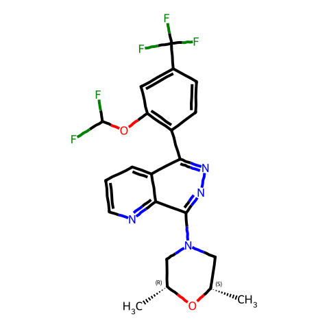 C[C@@H]1CN(c2nnc(-c3ccc(C(F)(F)F)cc3OC(F)F)c3cccnc23)C[C@H](C)O1